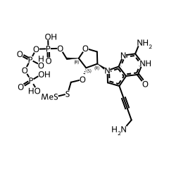 CSSCO[C@H]1[C@H](n2cc(C#CCN)c3c(=O)[nH]c(N)nc32)CO[C@@H]1COP(=O)(O)OP(=O)(O)OP(=O)(O)O